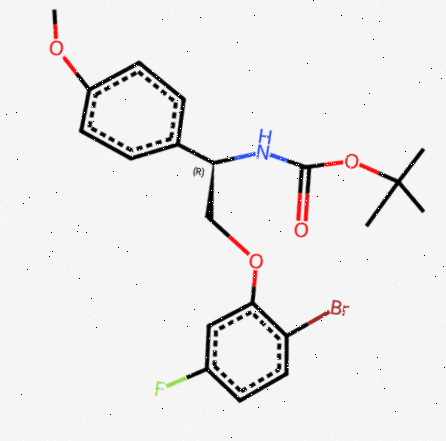 COc1ccc([C@H](COc2cc(F)ccc2Br)NC(=O)OC(C)(C)C)cc1